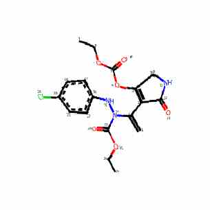 C=C(C1=C(OC(=O)OCC)CNC1=O)N(Nc1ccc(Cl)cc1)C(=O)OCC